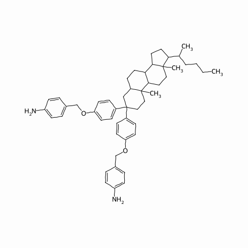 CCCCC(C)C1CCC2C3CCC4CC(c5ccc(OCc6ccc(N)cc6)cc5)(c5ccc(OCc6ccc(N)cc6)cc5)CCC4(C)C3CCC12C